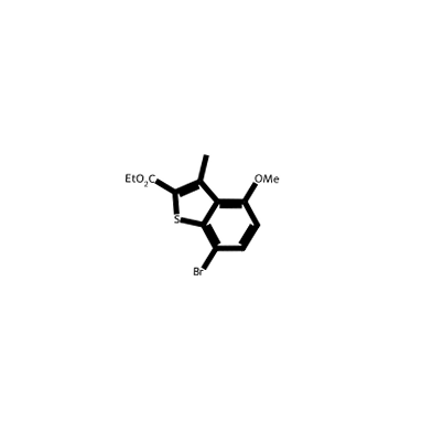 CCOC(=O)c1sc2c(Br)ccc(OC)c2c1C